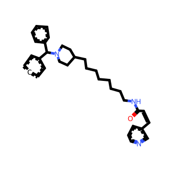 O=C(/C=C\c1cccnc1)NCCCCCCCCC1CCN(C(c2ccccc2)c2ccccc2)CC1